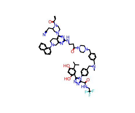 C=CC(=O)N1CCN(c2nc(NCCC(=O)N3CCN(Cc4ccc(CN(C)Cc5ccc(-n6c(C(=O)NCC(F)(F)F)nnc6-c6cc(C(C)C)c(O)cc6O)cc5)cc4)CC3)nc3c2CCN(c2cccc4ccccc24)C3)CC1CC#N